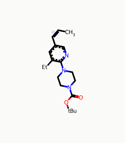 C/C=C\c1cnc(N2CCN(C(=O)OC(C)(C)C)CC2)c(CC)c1